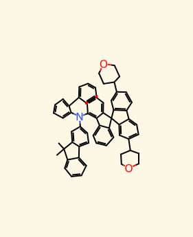 CC1(C)c2ccccc2-c2ccc(N(c3ccccc3-c3ccccc3)c3cccc4c3-c3ccccc3C43c4cc(C5CCOCC5)ccc4-c4ccc(C5CCOCC5)cc43)cc21